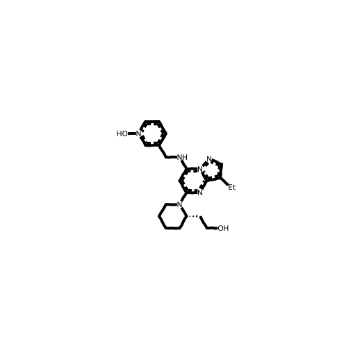 CCc1cnn2c(NCc3ccc[n+](O)c3)cc(N3CCCC[C@H]3CCO)nc12